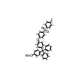 COc1ccc(C(c2ccccc2)(c2ccccc2)c2ccc(Oc3ccc(S(=O)(=O)c4ccc(C)cc4)cc3)cc2)cc1